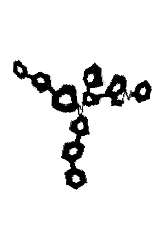 c1ccc(-c2ccc(-c3ccc(N(c4ccc(-c5ccc(-c6ccccc6)cc5)cc4)c4ccc(-c5cccc6c5ccn6-c5ccccc5)c(-c5ccccc5)c4)cc3)cc2)cc1